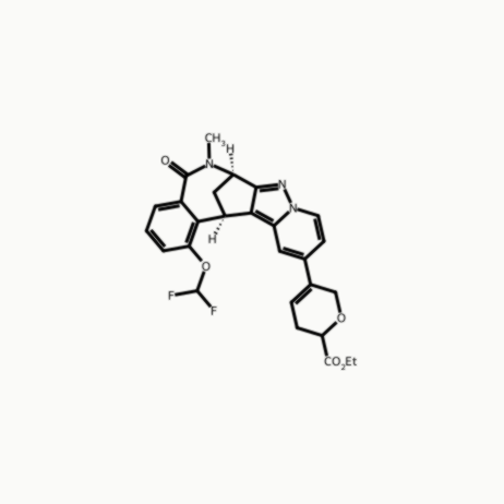 CCOC(=O)C1CC=C(c2ccn3nc4c(c3c2)[C@@H]2C[C@H]4N(C)C(=O)c3cccc(OC(F)F)c32)CO1